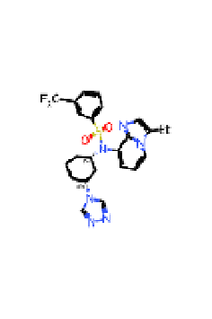 CCc1cnc2c(N([C@H]3CCC[C@@H](n4cnnc4)C3)S(=O)(=O)c3cccc(C(F)(F)F)c3)cccn12